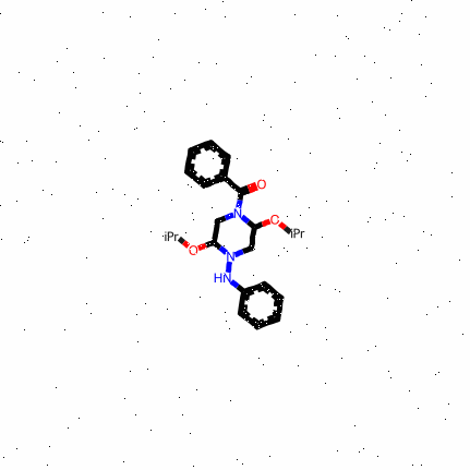 CC(C)OC1CN(C(=O)c2ccccc2)C(OC(C)C)CN1Nc1ccccc1